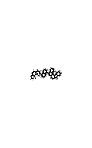 c1cnc2c(c1)ccc1ccc(-c3cccc4c(-c5cc6ccc7sc8ccccc8c7c6c6ccccc56)cccc34)nc12